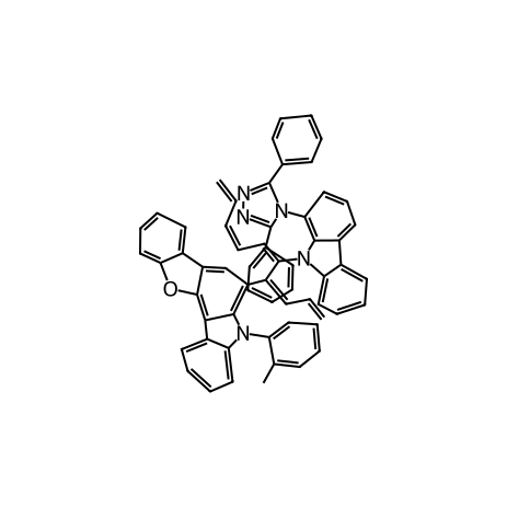 C=C\C=C/C=C(\C(=C/C=C)c1cc2c3ccccc3oc2c2c3ccccc3n(-c3ccccc3C)c12)n1c2ccccc2c2cccc(-n3c(-c4ccccc4)nnc3-c3ccccc3)c21